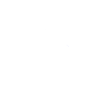 Cc1cc2c(s1)Cc1ccccc1NC2=O